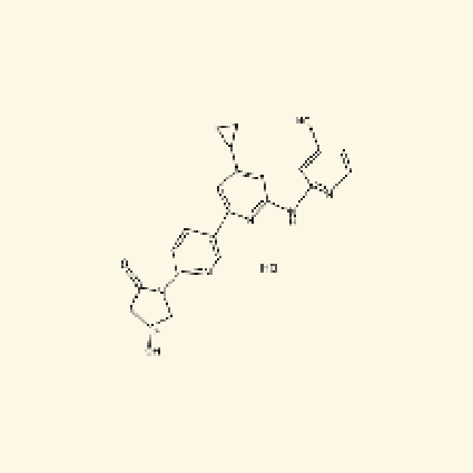 Cl.N#Cc1ccnc(Nc2cc(C3CC3)cc(-c3ccc(N4C[C@@H](O)CC4=O)nc3)n2)c1